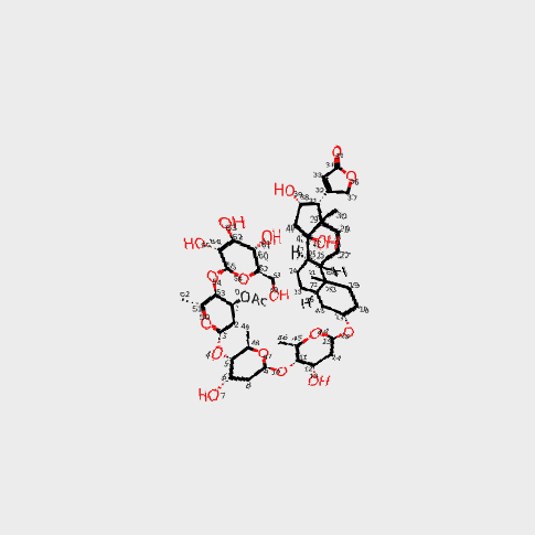 CC(=O)O[C@H]1C[C@H](O[C@H]2[C@@H](O)C[C@H](O[C@H]3[C@@H](O)C[C@H](O[C@H]4CCC5(C)[C@H](CC[C@@H]6[C@@H]5CCC5(C)[C@@H](C7=CC(=O)OC7)[C@@H](O)CC65O)C4)O[C@@H]3C)O[C@@H]2C)O[C@H](C)[C@H]1O[C@@H]1O[C@H](CO)[C@@H](O)[C@H](O)[C@H]1O